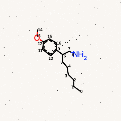 CCCCCCC(CN)c1ccc(OC)cc1